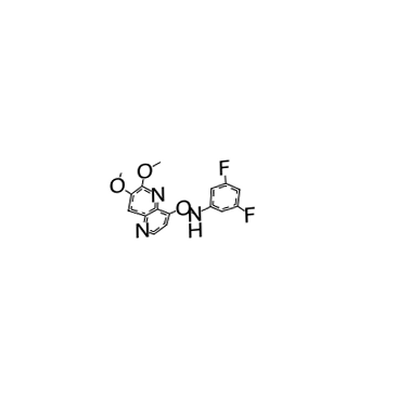 COc1cc2nccc(ONc3cc(F)cc(F)c3)c2nc1OC